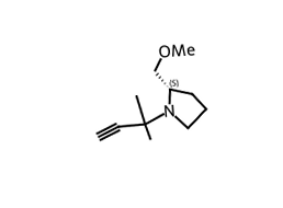 C#CC(C)(C)N1CCC[C@H]1COC